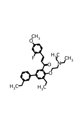 CCc1cccc(-c2cc(CC)c(OCCN(CC)CC)c(C(=O)C=Cc3ccc(OC)cc3F)c2)c1